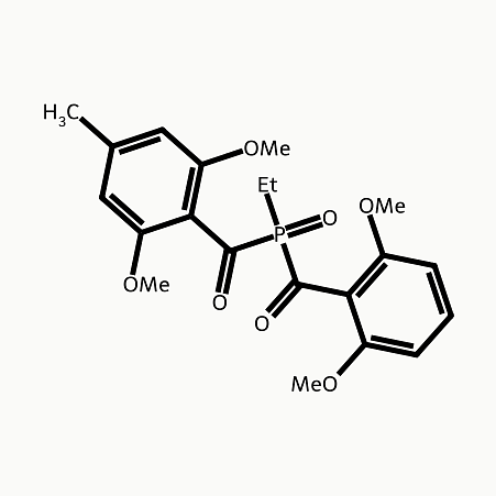 CCP(=O)(C(=O)c1c(OC)cccc1OC)C(=O)c1c(OC)cc(C)cc1OC